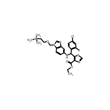 CCOC(=O)c1ncsc1C(Nc1ccc2c(c1)ncn2COCC[Si](C)(C)C)c1ccc(Cl)cc1F